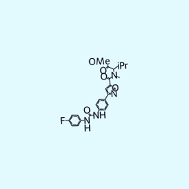 COC(=O)C(C(C)C)N(C)C(=O)c1cc(-c2ccc(NC(=O)Nc3ccc(F)cc3)cc2)no1